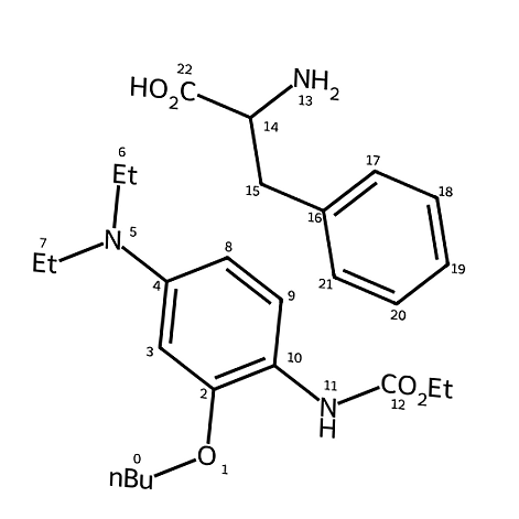 CCCCOc1cc(N(CC)CC)ccc1NC(=O)OCC.NC(Cc1ccccc1)C(=O)O